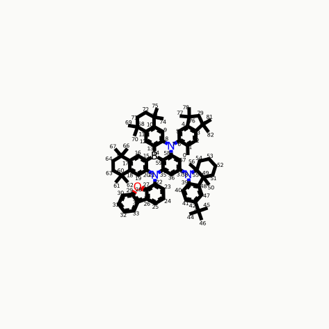 Cc1cc2c(cc1N1c3cc4c(cc3B3c5cc6c(cc5N(c5cccc7c5oc5ccccc57)c5cc(N7c8ccc(C(C)(C)C)cc8C8(C)CCCCC78C)cc1c53)C(C)(C)CCC6(C)C)C(C)(C)CCC4(C)C)C(C)(C)CC2(C)C